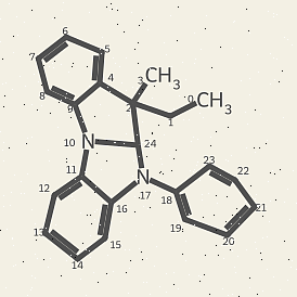 CCC1(C)c2ccccc2N2c3ccccc3N(c3ccccc3)C21